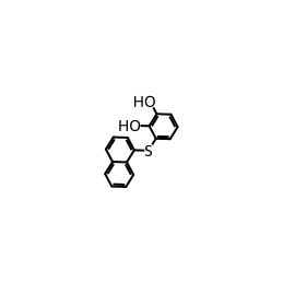 Oc1cccc(Sc2cccc3ccccc23)c1O